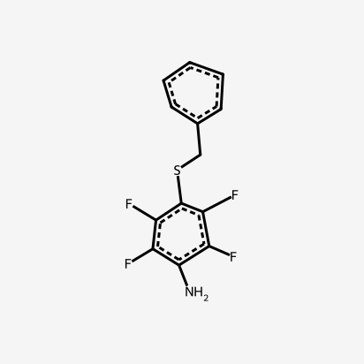 Nc1c(F)c(F)c(SCc2ccccc2)c(F)c1F